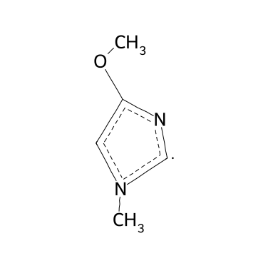 COc1cn(C)[c]n1